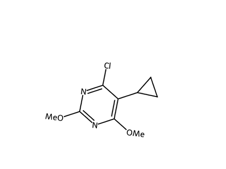 COc1nc(Cl)c(C2CC2)c(OC)n1